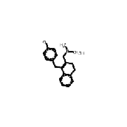 CN(C)CC1=C(Cc2ccc(Cl)cc2)c2ccccc2CC1.Cl